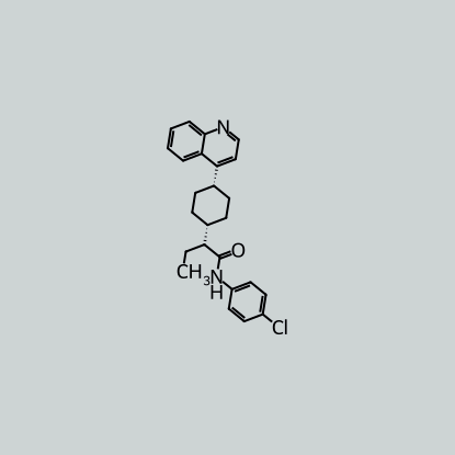 CCC(C(=O)Nc1ccc(Cl)cc1)[C@H]1CC[C@@H](c2ccnc3ccccc32)CC1